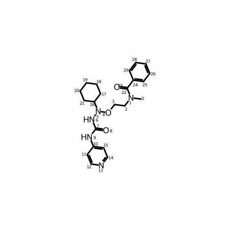 CN(CCON(NC(=O)Nc1ccncc1)C1CCCCC1)C(=O)c1ccccc1